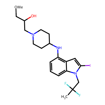 COCC(O)CN1CCC(Nc2cccc3c2cc(I)n3CC(C)(F)F)CC1